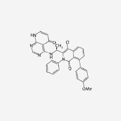 COc1ccc(-c2cccc3c(Cl)c([C@H](C)Nc4ncnc5[nH]ccc(=O)c45)n(-c4ccccc4)c(=O)c23)cc1